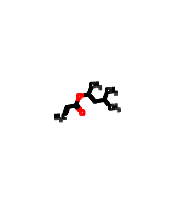 C=CC(=O)OC(C)CC(C)C